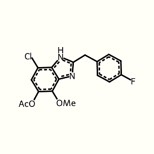 COc1c(OC(C)=O)cc(Cl)c2[nH]c(Cc3ccc(F)cc3)nc12